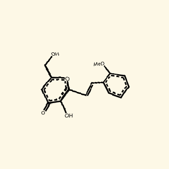 COc1ccccc1C=Cc1oc(CO)cc(=O)c1O